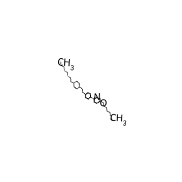 CCCCCCCCC1CCC(CCc2ccc(-c3ccc(OCCCCCC)cn3)cc2)CC1